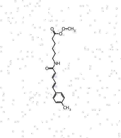 COOC(=O)CCCCCNC(=O)/C=C/C=C/c1ccc(C)cc1